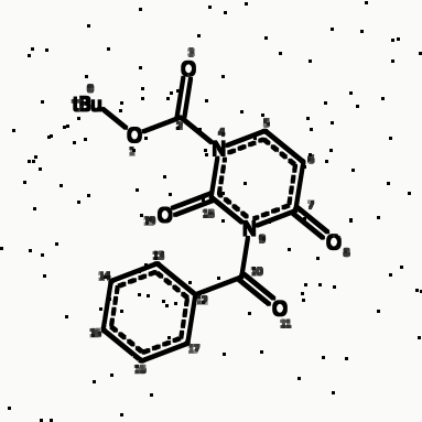 CC(C)(C)OC(=O)n1ccc(=O)n(C(=O)c2ccccc2)c1=O